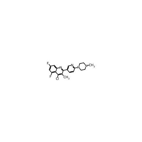 Cc1c(-c2ccc(N3CCN(C)CC3)nc2)nc2cc(F)cc(F)c2c1Cl